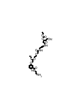 CCOC(=O)O[C@@H]1C[C@H](BC#CCNC(=O)COCCOC(COc2cccc(C(=O)NCCN)c2)SSC)OC1CO